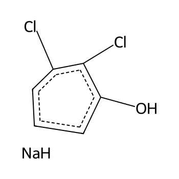 Oc1cccc(Cl)c1Cl.[NaH]